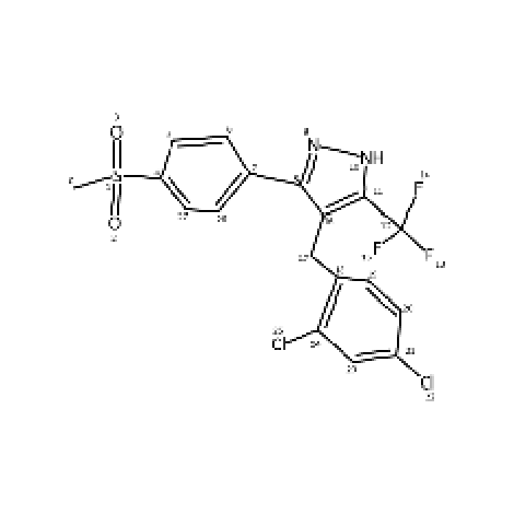 CS(=O)(=O)c1ccc(-c2n[nH]c(C(F)(F)F)c2Cc2ccc(Cl)cc2Cl)cc1